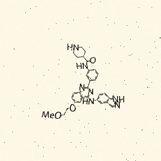 COCCOc1ccc2nc(-c3cccc(NC(=O)C4CCNCC4)c3)nc(Nc3ccc4[nH]ncc4c3)c2c1